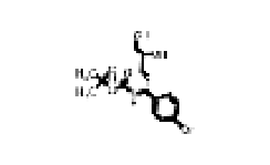 CC(C)(C)OC(=O)N[C@H](CCC(O)CO)c1ccc(Br)cc1